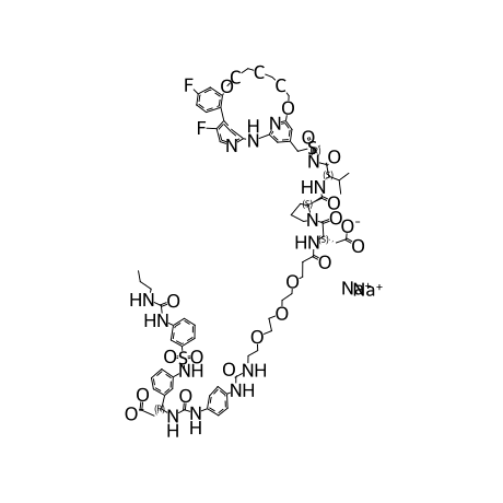 CCCNC(=O)Nc1cccc(S(=O)(=O)Nc2cccc([C@@H](CC(=O)[O-])NC(=O)Nc3ccc(NC(=O)NCCOCCOCCOCCC(=O)N[C@@H](CC(=O)[O-])C(=O)N4CCC[C@H]4C(=O)N[C@H](C(=O)N=[S@](C)(=O)Cc4cc5nc(c4)OCCCCCCOc4cc(F)ccc4-c4cc(ncc4F)N5)C(C)C)cc3)c2)c1.[Na+].[Na+]